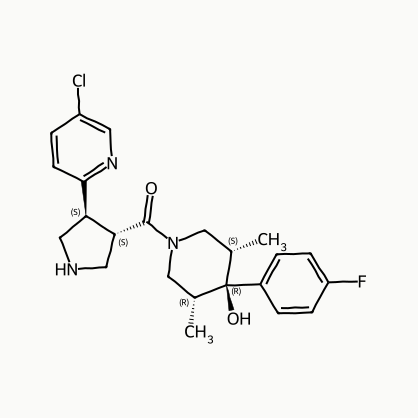 C[C@@H]1CN(C(=O)[C@@H]2CNC[C@H]2c2ccc(Cl)cn2)C[C@H](C)[C@]1(O)c1ccc(F)cc1